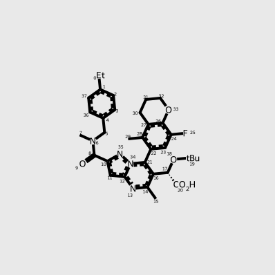 CCc1ccc(CN(C)C(=O)c2cc3nc(C)c([C@H](OC(C)(C)C)C(=O)O)c(-c4cc(F)c5c(c4C)CCCO5)n3n2)cc1